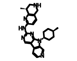 C[C@@H]1CNCc2ccc(Nc3ncc4c5ccncc5n([C@H]5CC[C@H](C)CC5)c4n3)nc21